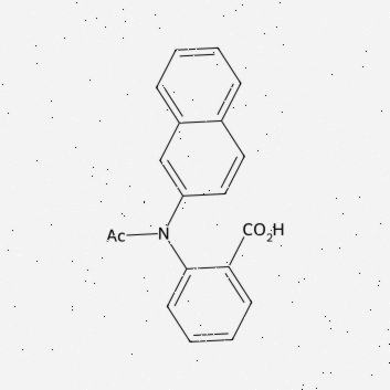 CC(=O)N(c1ccc2ccccc2c1)c1ccccc1C(=O)O